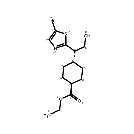 CCOC(=O)[C@H]1CC[C@H](C(CO)c2ncc(Br)s2)CC1